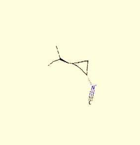 [C-]#[N+][C@H]1C[C@@H]1C(C)C